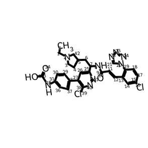 CCN1CCC(CC(NC(=O)/C=C/c2cc(Cl)ccc2-n2cnnn2)c2cc(-c3ccc(NC(=O)O)cc3)c(Cl)nn2)C1